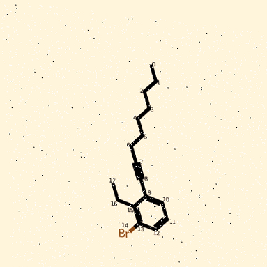 CCCCCCCC#Cc1cccc(Br)c1CC